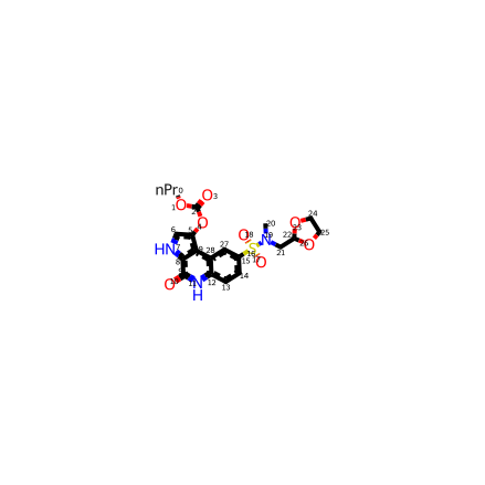 CCCOC(=O)Oc1c[nH]c2c(=O)[nH]c3ccc(S(=O)(=O)N(C)CC4OCCO4)cc3c12